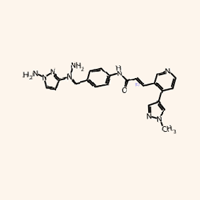 Cn1cc(-c2ccncc2/C=C/C(=O)Nc2ccc(CN(N)c3ccn(N)n3)cc2)cn1